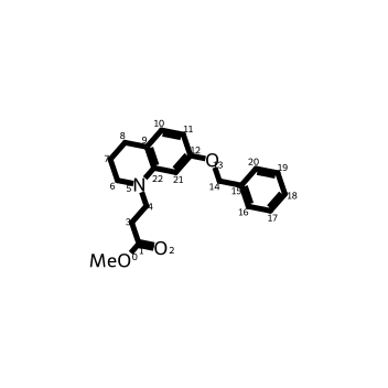 COC(=O)CCN1CCCc2ccc(OCc3ccccc3)cc21